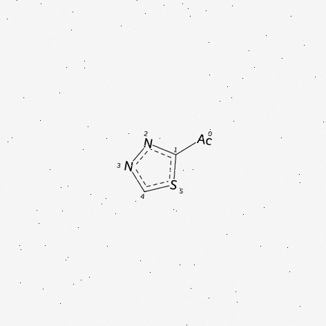 CC(=O)c1nncs1